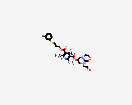 CC1=C(C(=O)OCCCSc2cccc(Cl)c2)C(C)C(C(=O)OC(CNCCO)CN2CCOCC2)=C(C)N1